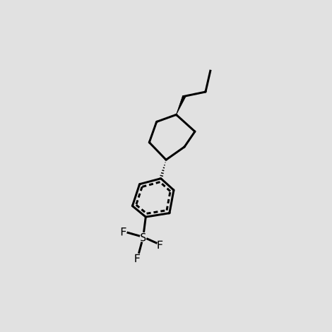 CCC[C@H]1CC[C@H](c2ccc(S(F)(F)F)cc2)CC1